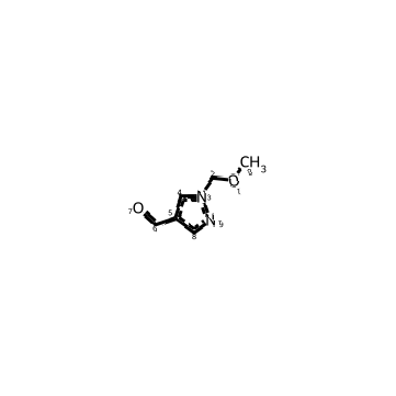 COCn1cc(C=O)cn1